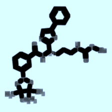 CC(C)(C)OC(=O)NCCC[C@H](NC(=O)c1cccc(B2OC(C)(C)C(C)(C)O2)c1)c1ncc(-c2ccccc2)o1